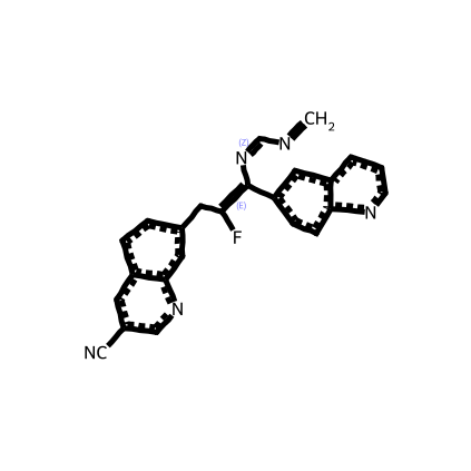 C=N/C=N\C(=C(\F)Cc1ccc2cc(C#N)cnc2c1)c1ccc2ncccc2c1